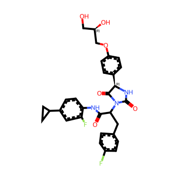 O=C(Nc1ccc(C2CC2)cc1F)C(Cc1ccc(F)cc1)N1C(=O)N[C@H](c2ccc(OC[C@H](O)CO)cc2)C1=O